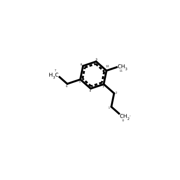 [CH2]CCc1cc(CC)ccc1C